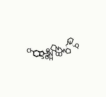 COC[C@H]1CCCN1C[C@@H]1CCCN1C(=O)CN1CCC[C@H](NS(=O)(=O)c2cc3cc(Cl)ccc3s2)C1=O